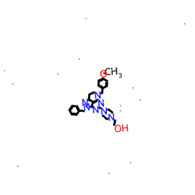 COc1ccc(CN2CCc3nn(Cc4ccccc4)c4nc(N5CCN(CCO)CC5)nc2c34)cc1